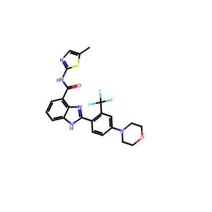 Cc1cnc(NC(=O)c2cccc3[nH]c(-c4ccc(N5CCOCC5)cc4C(F)(F)F)nc23)s1